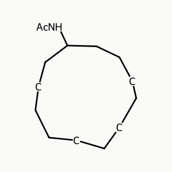 CC(=O)NC1CCCCCCCCCCC1